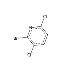 Clc1ccc(Cl)c(Br)n1